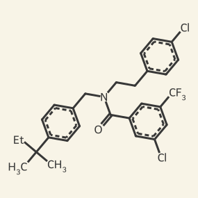 CCC(C)(C)c1ccc(CN(CCc2ccc(Cl)cc2)C(=O)c2cc(Cl)cc(C(F)(F)F)c2)cc1